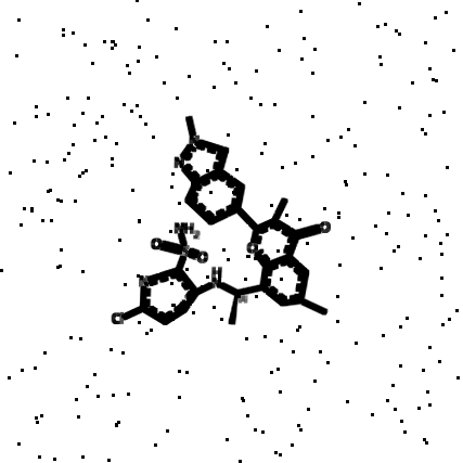 Cc1cc([C@@H](C)Nc2ccc(Cl)nc2S(N)(=O)=O)c2oc(-c3ccc4nn(C)cc4c3)c(C)c(=O)c2c1